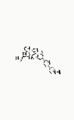 Cc1cc(-c2[nH]c3cc(-c4ccc(C5CCNCC5)nc4)ccc3c2C)cc(C)n1